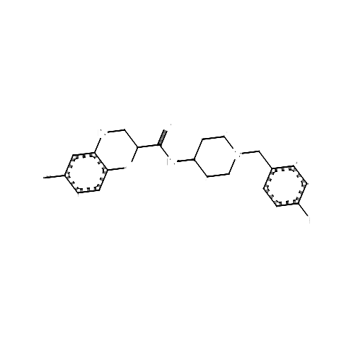 O=C(NC1CCN(Cc2ccc(F)cc2)CC1)C1CNc2cc(Cl)ccc2O1